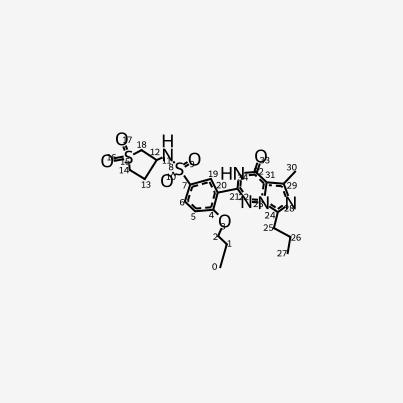 CCCOc1ccc(S(=O)(=O)NC2CCS(=O)(=O)C2)cc1-c1nn2c(CCC)nc(C)c2c(=O)[nH]1